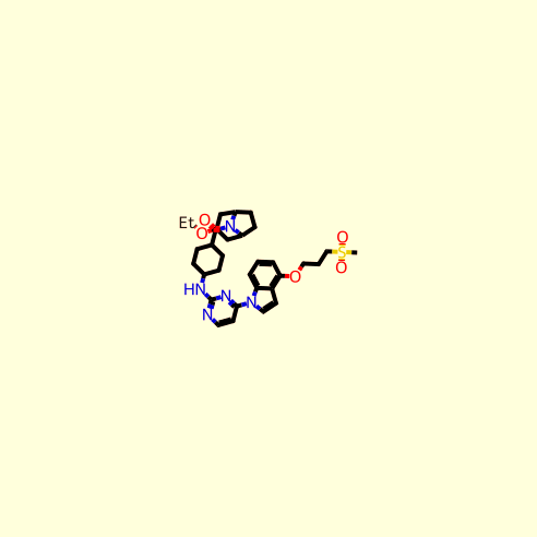 CCOC1CC2CCC(C1)N2C(=O)C1CCC(Nc2nccc(-n3ccc4c(OCCCS(C)(=O)=O)cccc43)n2)CC1